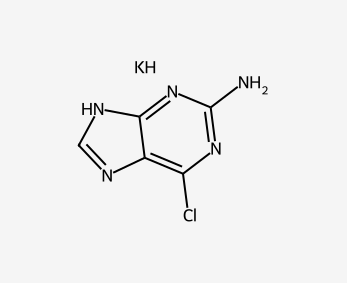 Nc1nc(Cl)c2nc[nH]c2n1.[KH]